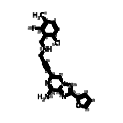 Cc1ccc(Cl)c(CNCC#Cc2cn3nc(-c4ccco4)nc3c(N)n2)c1F